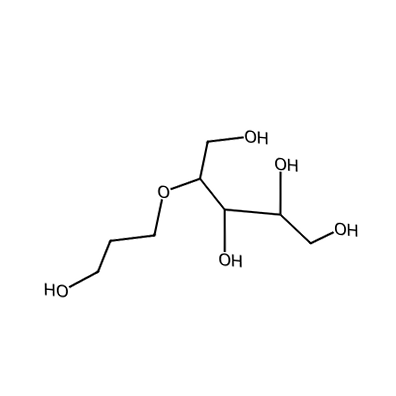 OCCCOC(CO)C(O)C(O)CO